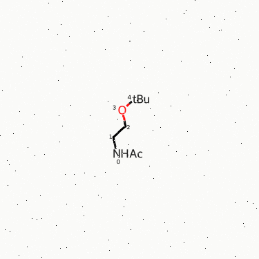 CC(=O)NCCOC(C)(C)C